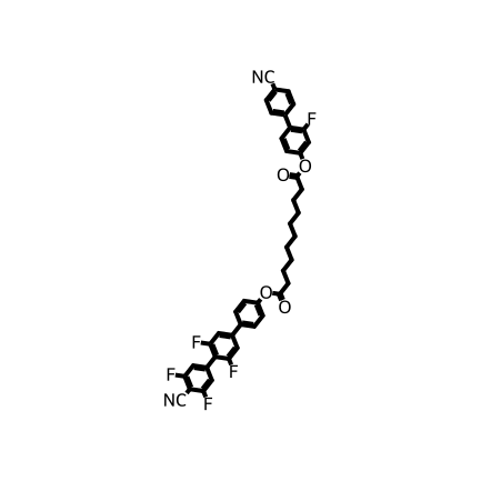 N#Cc1ccc(-c2ccc(OC(=O)CCCCCCCCCC(=O)Oc3ccc(-c4cc(F)c(-c5cc(F)c(C#N)c(F)c5)c(F)c4)cc3)cc2F)cc1